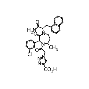 C[C@@H]1CCN([C@H](Cc2cccc3ccccc23)C(N)=O)C(=O)[C@H](c2cccc(Cl)c2)N1C(=O)Cn1cc(C(=O)O)nn1